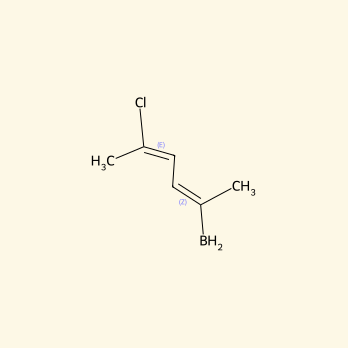 B/C(C)=C/C=C(\C)Cl